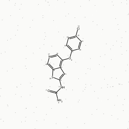 NC(=O)Nc1cc2c(Oc3ccc(Cl)cc3)cncc2s1